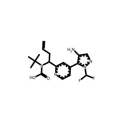 C=CCC(c1cc(-c2c(N)cnn2C(F)F)ccn1)N(C(=O)O)C(C)(C)C